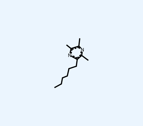 CCCCCCc1nc(C)c(C)nc1C